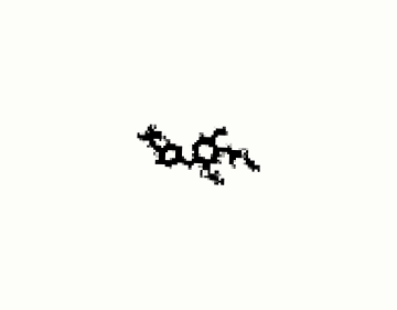 C=CC1=CCC(Cc2ccc(CC(C)(C)C)cc2)=C(OC#N)C=C1/C=C(\C)OC#N